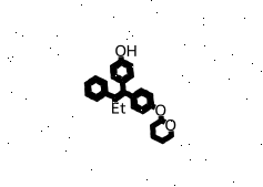 CCC(=C(c1ccc(O)cc1)c1ccc(OC2CCCCO2)cc1)c1ccccc1